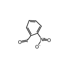 O=Ic1ccccc1[N+](=O)[O-]